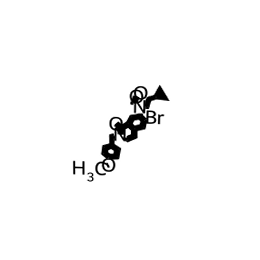 COc1ccc(Cn2ccc3cc(Br)c(N(C=O)CC(=O)C4CC4)cc3c2=O)cc1